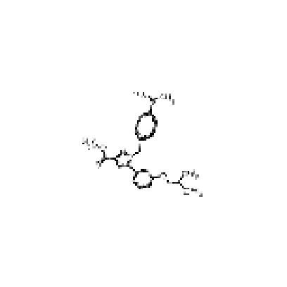 COC(=O)c1cc(-c2cccc(OCC(C)C)c2)n(Cc2ccc(N(C)C)cc2)n1